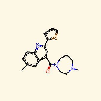 Cc1ccc2nc(-c3cccs3)cc(C(=O)N3CCCN(C)CC3)c2c1